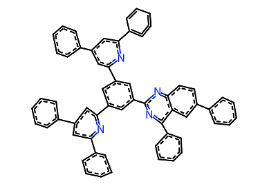 C1=C=C(c2cc(-c3ccccc3)cc(-c3cc(-c4cc(-c5ccccc5)cc(-c5ccccc5)n4)cc(-c4nc(-c5ccccc5)c5cc(-c6ccccc6)ccc5n4)c3)n2)C=CC=1